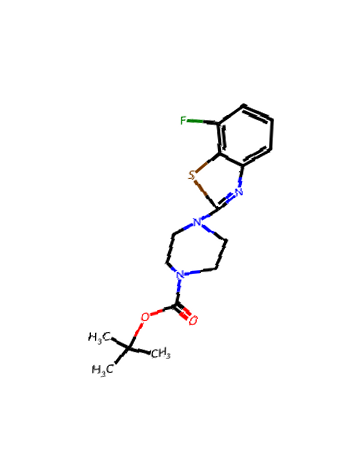 CC(C)(C)OC(=O)N1CCN(c2nc3cccc(F)c3s2)CC1